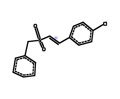 O=S(=O)(/C=C/c1ccc(Cl)cc1)Cc1ccccc1